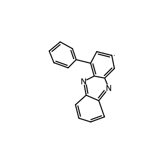 [c]1cc(-c2ccccc2)c2nc3ccccc3nc2c1